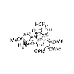 COC(=O)c1c(-c2cc(OC)c(OC)c(OC)c2)c2ccccc2c(=O)n1-c1ccc(OC)c(N)c1.Cl